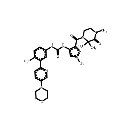 Cc1ccc(NC(=O)Nc2cn(C(C)(C)C)nc2C(=O)N2CCN(C)C(=O)C2(C)C)cc1-c1ccc(N2CCOCC2)cn1